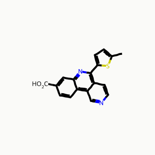 Cc1ccc(-c2nc3cc(C(=O)O)ccc3c3cnccc23)s1